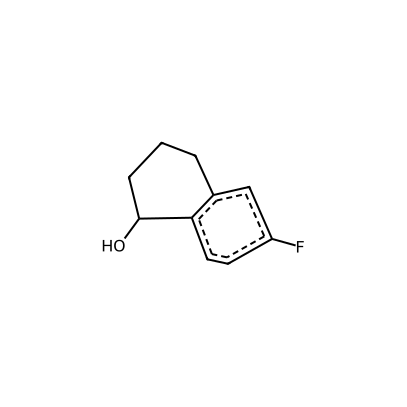 OC1CCCc2cc(F)ccc21